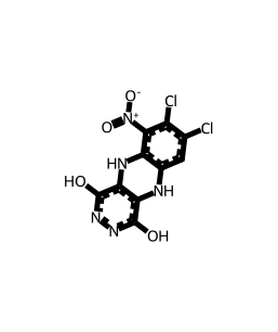 O=[N+]([O-])c1c(Cl)c(Cl)cc2c1Nc1c(O)nnc(O)c1N2